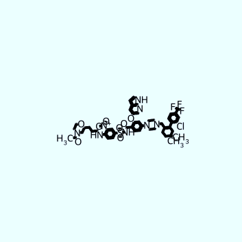 CC(=O)N1CCOC(CCCNc2ccc(S(=O)(=O)NC(=O)c3ccc(N4CCN(CC5=C(c6ccc(C(F)(F)F)cc6Cl)CC(C)(C)CC5)CC4)cc3Oc3cnc4[nH]ccc4c3)cc2[N+](=O)[O-])C1